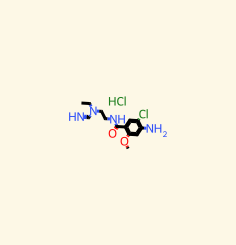 CCN(C=N)CCNC(=O)c1cc(Cl)c(N)cc1OC.Cl